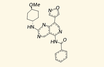 CO[C@H]1CC[C@H](Nc2ncc3c(NC(=O)c4ccccc4)ncc(-c4cnoc4)c3n2)CC1